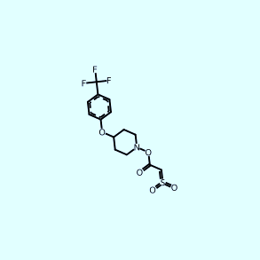 O=C(C=S(=O)=O)ON1CCC(Oc2ccc(C(F)(F)F)cc2)CC1